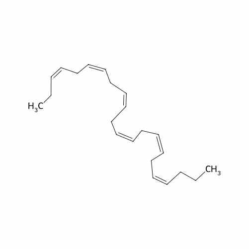 CC/C=C\C/C=C\C/C=C\C/C=C\C/C=C\C/C=C\CCC